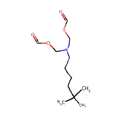 CC(C)(C)CCCCN(COC=O)COC=O